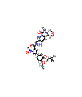 CC(=O)N1CC(c2ccc(OC(F)F)c(OCC3CC3)c2)C[C@@H]1C(=O)NCc1cccc(C(=O)N(C)C2CCOCC2)n1